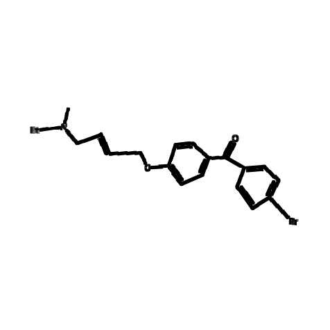 CCN(C)CC=CCOc1ccc(C(=O)c2ccc(Br)cc2)cc1